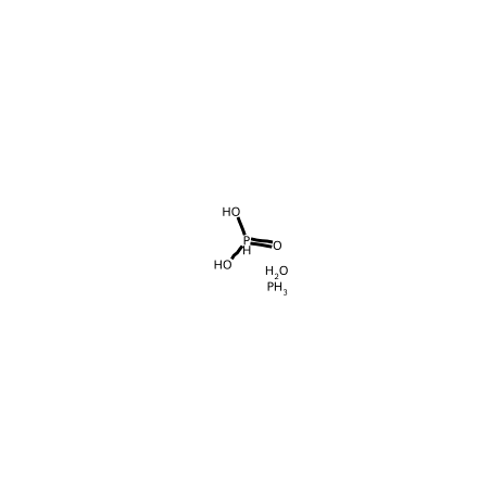 O.O=[PH](O)O.P